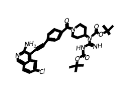 CC(C)(C)OC(=O)NC(=N)N(C(=O)OC(C)(C)C)C1CCN(C(=O)c2ccc(C#Cc3c(N)ncc4ccc(Cl)cc34)cc2)CC1